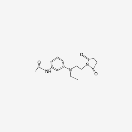 CCN(CCN1C(=O)CCC1=O)c1cccc(NC(C)=O)c1